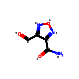 NC(=O)c1nonc1C=O